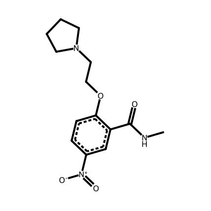 CNC(=O)c1cc([N+](=O)[O-])ccc1OCCN1CCCC1